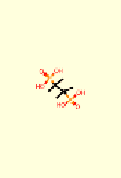 CC(C)(C(C)(C)P(=O)(O)O)P(=O)(O)O